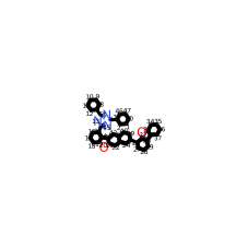 c1ccc(-c2nc(-c3ccccc3)nc(-c3cccc4oc5cc6cc(-c7cccc8c7oc7ccccc78)ccc6cc5c34)n2)cc1